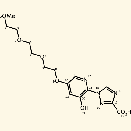 COCCOCCOCCOc1cnc(-n2cnc(C(=O)O)n2)c(O)c1